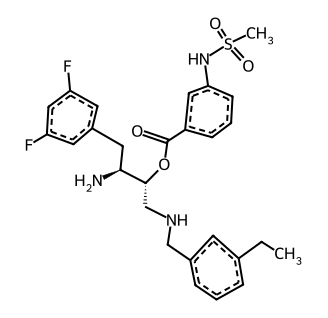 CCc1cccc(CNC[C@@H](OC(=O)c2cccc(NS(C)(=O)=O)c2)[C@@H](N)Cc2cc(F)cc(F)c2)c1